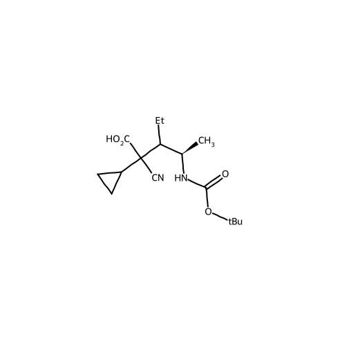 CCC([C@@H](C)NC(=O)OC(C)(C)C)C(C#N)(C(=O)O)C1CC1